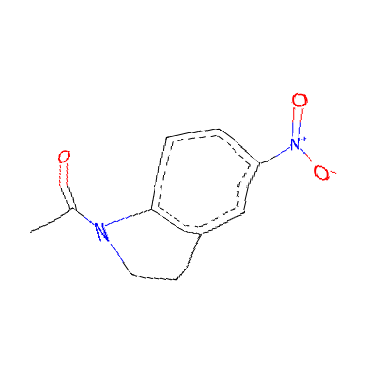 CC(=O)N1CCc2cc([N+](=O)[O-])ccc21